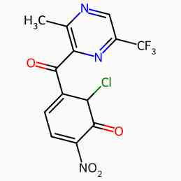 Cc1ncc(C(F)(F)F)nc1C(=O)C1=CC=C([N+](=O)[O-])C(=O)C1Cl